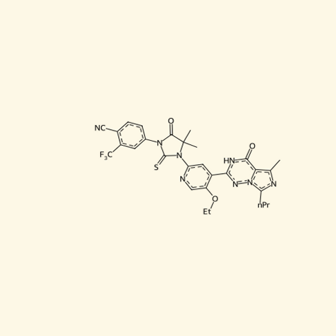 CCCc1nc(C)c2c(=O)[nH]c(-c3cc(N4C(=S)N(c5ccc(C#N)c(C(F)(F)F)c5)C(=O)C4(C)C)ncc3OCC)nn12